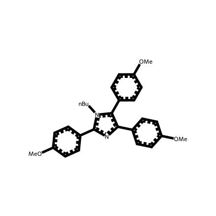 CCCCn1c(-c2ccc(OC)cc2)nc(-c2ccc(OC)cc2)c1-c1ccc(OC)cc1